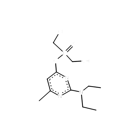 CCN(CC)c1nc(C)cc(OP(=S)(CO)CO)n1